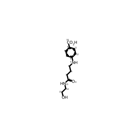 O=C(CCCNc1ccc(C(=O)O)cc1)NCCO